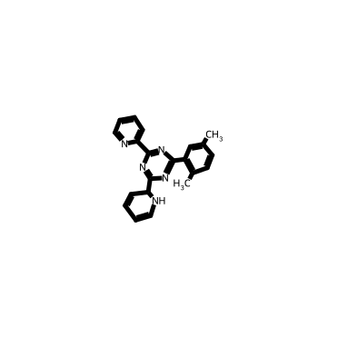 Cc1ccc(C)c(-c2nc(-c3ccccn3)nc(C3C=CC=CN3)n2)c1